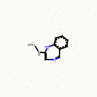 CCCCCCBC1=CN=Cc2ccccc2N1